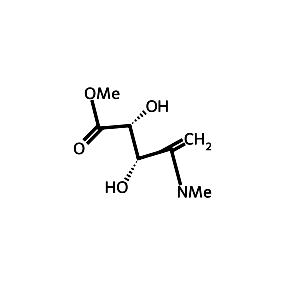 C=C(NC)[C@H](O)[C@@H](O)C(=O)OC